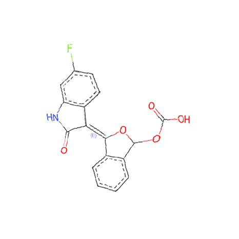 O=C(O)OC1O/C(=C2/C(=O)Nc3cc(F)ccc32)c2ccccc21